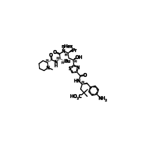 CCCCCCN(C(=O)[C@@H](NC(=O)[C@H]1CCCCN1C)[C@@H](C)CC)[C@H](C[C@@H](O)c1nc(C(=O)N[C@@H](Cc2ccc(N)cc2)CC(C)(C)C(=O)O)cs1)C(C)C